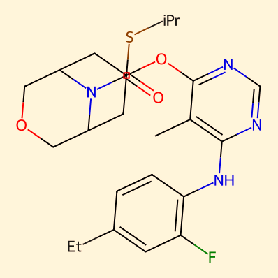 CCc1ccc(Nc2ncnc(OC3CC4COCC(C3)N4C(=O)SC(C)C)c2C)c(F)c1